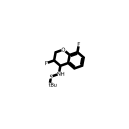 CC(C)(C)SNC1c2cccc(F)c2OCC1F